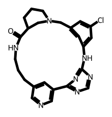 O=C1NCCCc2cncc(c2)-c2ncnc(n2)Nc2cc(Cl)cc(c2)CN2CCCC1C2